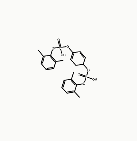 Cc1cccc(C)c1OP(=O)(O)OC1=CCC(OP(=O)(O)Oc2c(C)cccc2C)C=C1